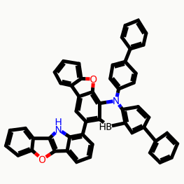 B1c2cc(-c3ccccc3)ccc2N(c2ccc(-c3ccccc3)cc2)c2c1c(-c1cccc3c1[nH]c1c4ccccc4oc31)cc1c2oc2ccccc21